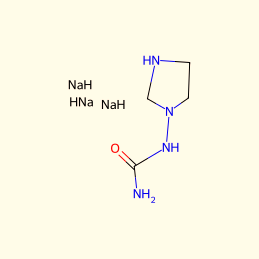 NC(=O)NN1CCNC1.[NaH].[NaH].[NaH]